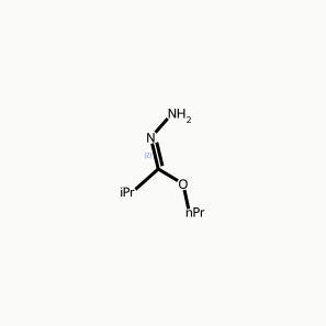 CCCO/C(=N\N)C(C)C